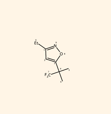 CCc1cc(C(C)(C)C(F)(F)F)on1